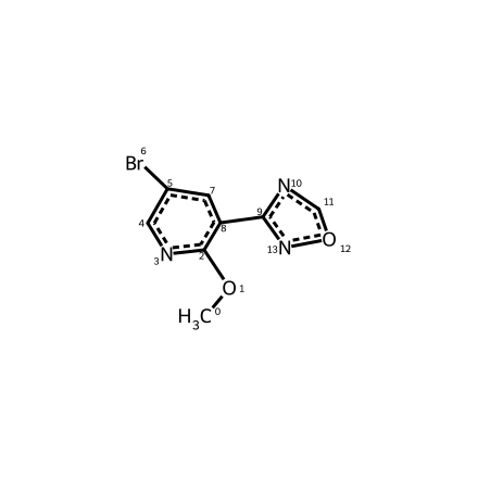 COc1ncc(Br)cc1-c1ncon1